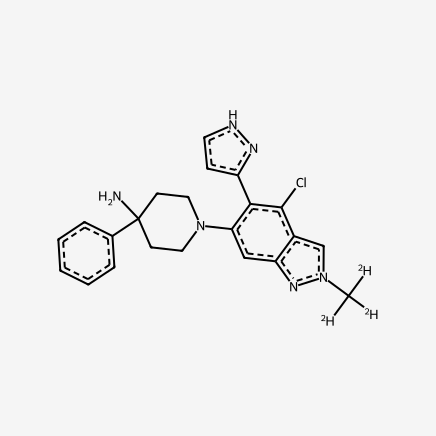 [2H]C([2H])([2H])n1cc2c(Cl)c(-c3cc[nH]n3)c(N3CCC(N)(c4ccccc4)CC3)cc2n1